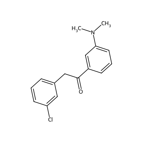 CN(C)c1cccc(C(=O)Cc2cccc(Cl)c2)c1